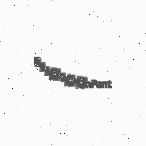 CCCCCC1CCC(C2CCC(CCC3CCC(CCCCCF)CC3)CC2)CC1